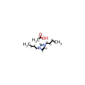 CC(=O)O.CCCCN1C=CN(CCCC)C1